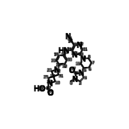 CN1CCN([C@@H]2CCCN(c3cnc(C#N)c(Nc4ccc(N5CC6(CN(C(=O)O)C6)C5)cc4)n3)C2)C1=O